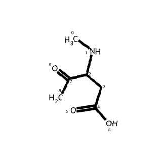 CNC(CC(=O)O)C(C)=O